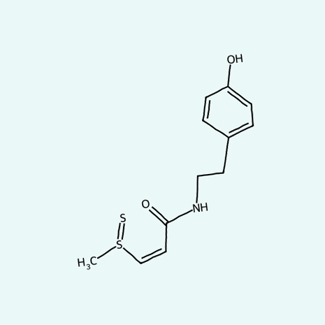 CS(=S)/C=C\C(=O)NCCc1ccc(O)cc1